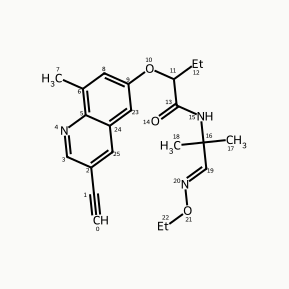 C#Cc1cnc2c(C)cc(OC(CC)C(=O)NC(C)(C)C=NOCC)cc2c1